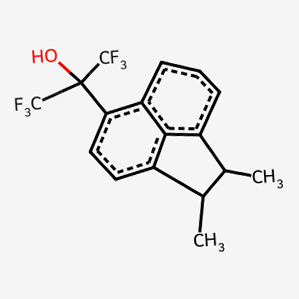 CC1c2cccc3c(C(O)(C(F)(F)F)C(F)(F)F)ccc(c23)C1C